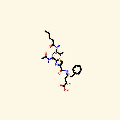 CCCCC(=O)N(C)[C@H](C[C@@H](NC(C)=O)c1nc(C(=O)N[C@@H](Cc2ccccc2)C[C@H](C)C(=O)O)cs1)C(C)C